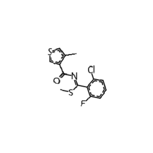 CSC(=NC(=O)c1cscc1C)c1c(F)cccc1Cl